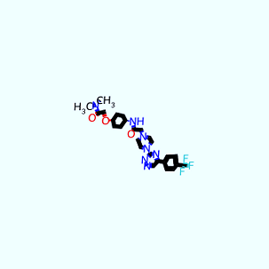 CN(C)C(=O)CO[C@H]1CC[C@H](NC(=O)CN2CCN(c3nncc(-c4ccc(C(F)(F)F)cc4)n3)CC2)CC1